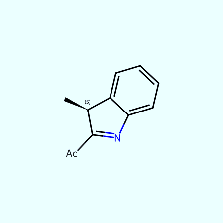 CC(=O)C1=Nc2ccccc2[C@@H]1C